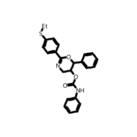 CCSc1ccc(C2=NCC(OC(=O)Nc3ccccc3)C(c3ccccc3)O2)cc1